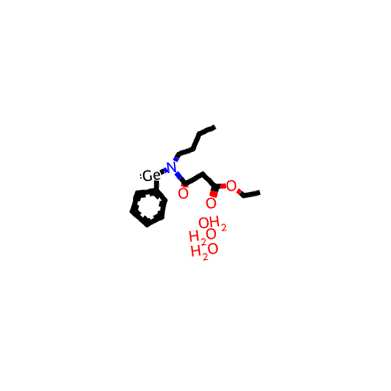 CCCC[N]([Ge][c]1ccccc1)C(=O)CC(=O)OCC.O.O.O